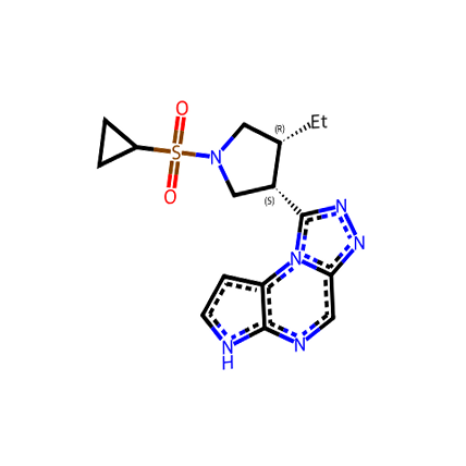 CC[C@H]1CN(S(=O)(=O)C2CC2)C[C@H]1c1nnc2cnc3[nH]ccc3n12